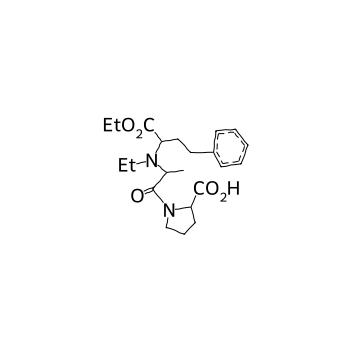 CCOC(=O)C(CCc1ccccc1)N(CC)C(C)C(=O)N1CCCC1C(=O)O